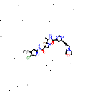 CC(NC(=O)c1cc(C#CCN2CCOCC2)ncn1)c1ncc(C(=O)Nc2cc(C(F)(F)F)c(Cl)cn2)s1